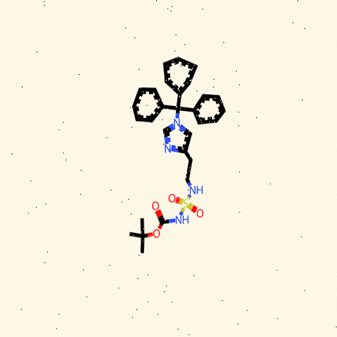 CC(C)(C)OC(=O)NS(=O)(=O)NCCc1cn(C(c2ccccc2)(c2ccccc2)c2ccccc2)cn1